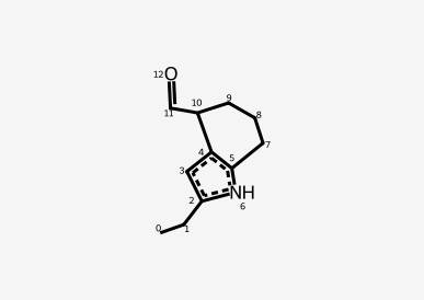 CCc1cc2c([nH]1)CCCC2C=O